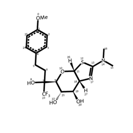 COc1ccc(CCC(O)([C@H]2O[C@@H]3SC(N(C)C)=N[C@@H]3[C@@H](O)[C@@H]2O)C(F)(F)F)cc1